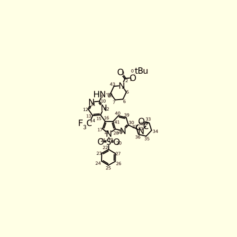 CC(C)(C)OC(=O)N1CCC[C@H](Nc2ncc(C(F)(F)F)c(-c3cn(S(=O)(=O)c4ccccc4)c4nc(N5CC6CCC5CO6)ccc34)n2)C1